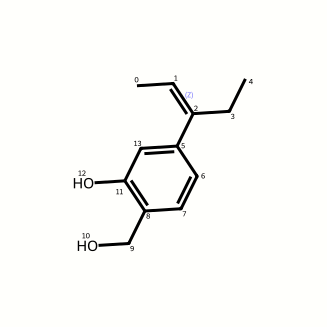 C/C=C(/CC)c1ccc(CO)c(O)c1